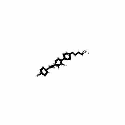 CCCCCc1ccc(-c2ccc(C#Cc3ccc(F)cc3)c(F)c2F)cc1